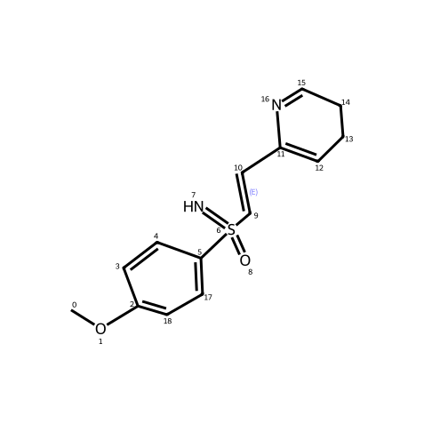 COc1ccc(S(=N)(=O)/C=C/C2=CCCC=N2)cc1